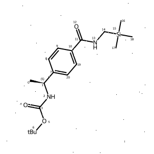 C[C@H](NC(=O)OC(C)(C)C)c1ccc(C(=O)NC[Si](C)(C)C)cc1